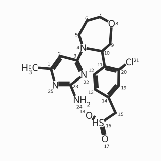 Cc1cc(N2CCCOCC2c2ccc(C[SH](=O)=O)cc2Cl)nc(N)n1